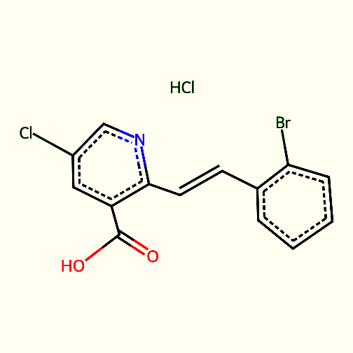 Cl.O=C(O)c1cc(Cl)cnc1C=Cc1ccccc1Br